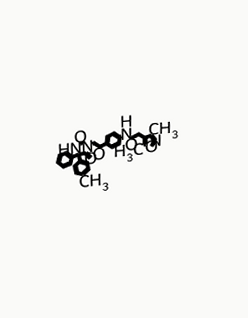 Cc1ccc(C2(c3ccccc3)NC(=O)N(CC(=O)c3ccc(NC(=O)Cc4c(C)noc4C)cc3)C2=O)cc1